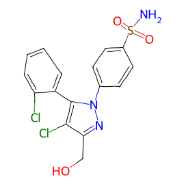 NS(=O)(=O)c1ccc(-n2nc(CO)c(Cl)c2-c2ccccc2Cl)cc1